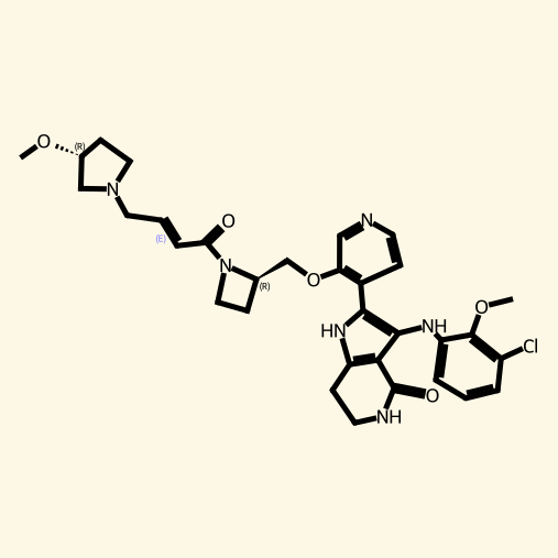 COc1c(Cl)cccc1Nc1c(-c2ccncc2OC[C@H]2CCN2C(=O)/C=C/CN2CC[C@@H](OC)C2)[nH]c2c1C(=O)NCC2